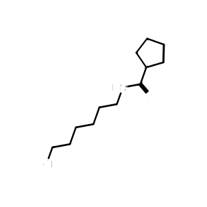 O=C(NCCCCCCO)C1CCCC1